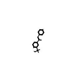 CCc1ccc(/C=C(\C)c2ccc3c(c2)C(C)(C)CS3)cc1